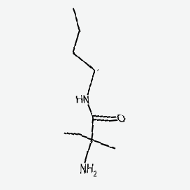 CCC[CH]NC(=O)C(C)(C)N